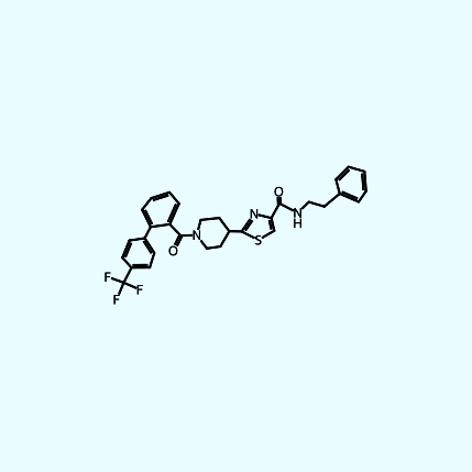 O=C(NCCc1ccccc1)c1csc(C2CCN(C(=O)c3ccccc3-c3ccc(C(F)(F)F)cc3)CC2)n1